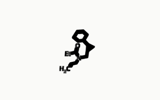 C=CCN(CC1CC1C1CC=CCC1)C(=O)CC